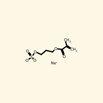 C=C(C)C(=O)OCCCOS(=O)(=O)[O-].[Na+]